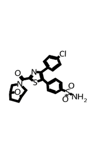 NS(=O)(=O)c1ccc(-c2sc(C(=O)N3CC4CCC(C3)O4)nc2-c2ccc(Cl)cc2)cc1